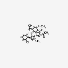 COc1ccc(Nc2c(-c3nc(C(C)=O)c(C)s3)c(C)nn2-c2ccccc2Cl)c(C(=O)O)c1